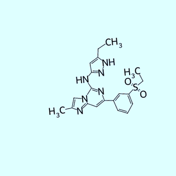 CCc1cc(Nc2nc(-c3cccc(S(=O)(=O)CC)c3)cc3nc(C)cn23)n[nH]1